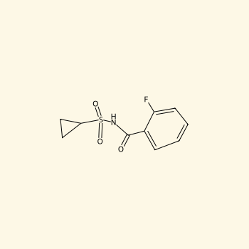 O=C(NS(=O)(=O)C1CC1)c1ccccc1F